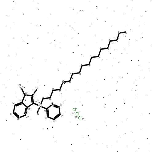 CCCCCCCCCCCCCCCCCC[Si](C)(C1=C(C)[CH]([Ti+3])c2ccccc21)c1ccccc1.[Cl-].[Cl-].[Cl-]